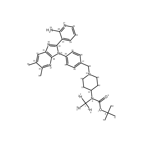 [2H]C([2H])([2H])N(C(=O)OC(C)(C)C)C1CCN(Cc2ccc(-n3c(-c4cccnc4N)nc4cc(C)c(C)nc43)cc2)CC1